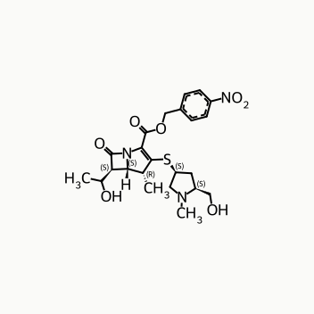 CC(O)[C@H]1C(=O)N2C(C(=O)OCc3ccc([N+](=O)[O-])cc3)=C(S[C@H]3C[C@@H](CO)N(C)C3)[C@H](C)[C@H]12